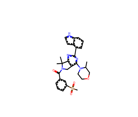 CC1COCCN1c1nc(-c2cccc3[nH]ccc23)nc2c1CN(C(=O)c1cccc(S(C)(=O)=O)c1)C2(C)C